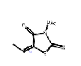 C/C=C1/SC(=S)N(OC(C)=O)C1=O